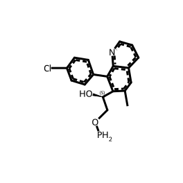 Cc1cc2cccnc2c(-c2ccc(Cl)cc2)c1[C@H](O)COP